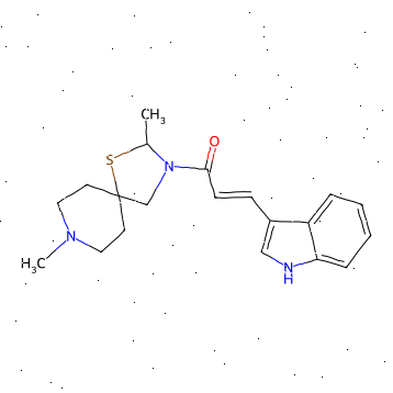 CC1SC2(CCN(C)CC2)CN1C(=O)C=Cc1c[nH]c2ccccc12